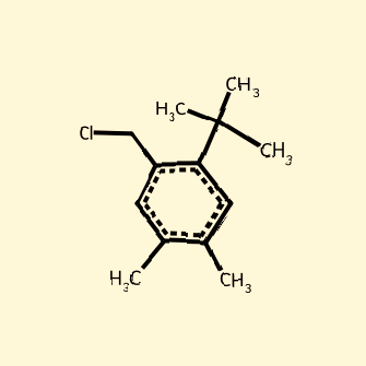 Cc1cc(CCl)c(C(C)(C)C)cc1C